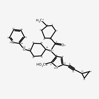 CC1CCC(C(=O)N(c2cc(C#CC3CC3)sc2C(=O)O)C2CCC(Oc3ccccn3)CC2)CC1